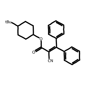 CC(C)(C)C1CCC(OC(=O)C(C#N)=C(c2ccccc2)c2ccccc2)CC1